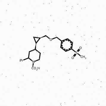 CC(C)C1CC([C@H]2C[C@H]2COCc2ccc(S(C)(=O)=O)cc2)CCN1C(=O)O